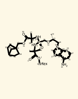 CCCCCCOC(=O)C(C)(C)NP(=O)(CO[C@H](C)Cn1cnc2c(N)ccnc21)NC(C)(C)C(=O)OCC12CCC(CC1)C2